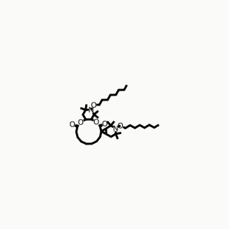 CCCCCCCCON1C(C)(C)CC2OC(=O)CCCCCCCC3(C(=O)OC2C1(C)C)C1CC(C)(C)N(OCCCCCCCC)C(C)(C)C13